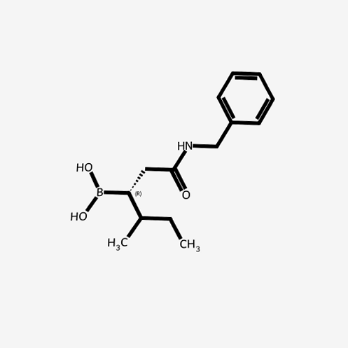 CCC(C)[C@@H](CC(=O)NCc1ccccc1)B(O)O